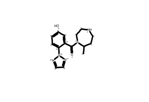 CC1CCNCCN1C(=O)c1ccccc1-n1nccn1.Cl